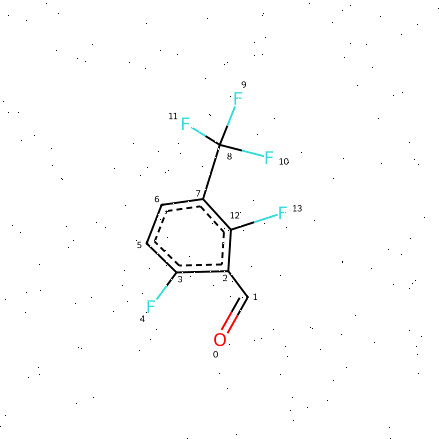 O=Cc1c(F)ccc(C(F)(F)F)c1F